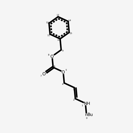 CCCCNC=CCOC(=O)OCc1ccccc1